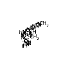 C=CC(=O)Nc1cc(NC2=CCC(c3ccc4c(cnn4C(C)C)c3)=NC=N2)ccc1N1CCC(C2CCN(C)CC2)CC1